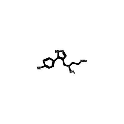 CNCCN(C)Cc1cn[nH]c1-c1ccc(C#N)cc1